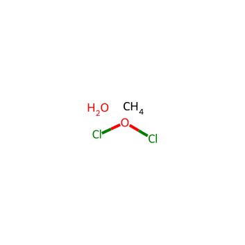 C.ClOCl.O